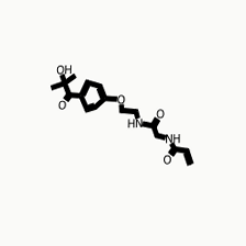 C=CC(=O)NCC(=O)NCCOc1ccc(C(=O)C(C)(C)O)cc1